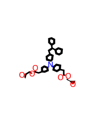 O=C(Cc1ccc(N(c2ccc(C=C(c3ccccc3)c3ccccc3)cc2)c2ccc(CC(=O)OC[C@H]3CO3)cc2)cc1)OCC1CO1